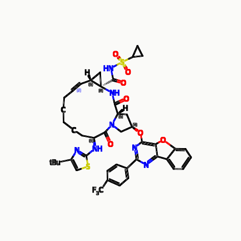 CC(C)(C)c1csc(N[C@H]2CCCCC/C=C\[C@@H]3C[C@@]3(C(=O)NS(=O)(=O)C3CC3)NC(=O)[C@@H]3C[C@@H](Oc4nc(-c5ccc(C(F)(F)F)cc5)nc5c4oc4ccccc45)CN3C2=O)n1